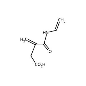 C=CNC(=O)C(=C)CC(=O)O